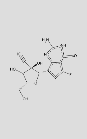 C#C[C@@]1(O)C(O)[C@@H](CO)O[C@H]1n1cc(F)c2c(=O)[nH]c(N)nc21